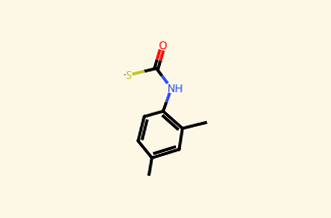 Cc1ccc(NC(=O)[S])c(C)c1